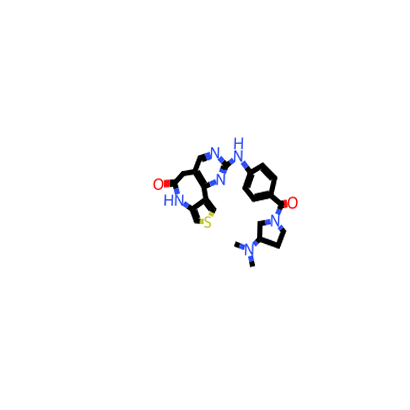 CN(C)C1CCN(C(=O)c2ccc(Nc3ncc4c(n3)-c3cscc3NC(=O)C4)cc2)C1